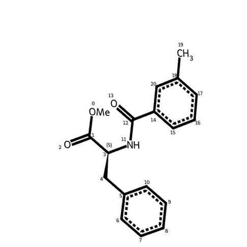 COC(=O)[C@H](Cc1ccccc1)NC(=O)c1cccc(C)c1